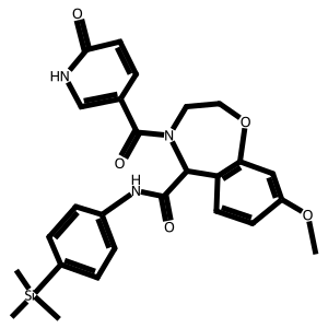 COc1ccc2c(c1)OCCN(C(=O)c1ccc(=O)[nH]c1)C2C(=O)Nc1ccc([Si](C)(C)C)cc1